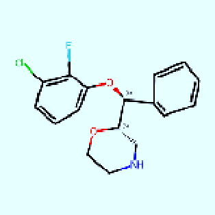 Fc1c(Cl)cccc1O[C@@H](c1ccccc1)[C@@H]1CNCCO1